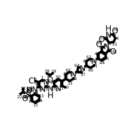 Cc1nc(Nc2ncc(Cl)c(Nc3ccccc3S(=O)(=O)C(C)C)n2)c(OC(C)C)cc1C1CCN(C2CN(C3CCN(c4ccc5c(c4)C(=O)N(C4CCC(=O)NC4=O)C5=O)CC3)C2)CC1